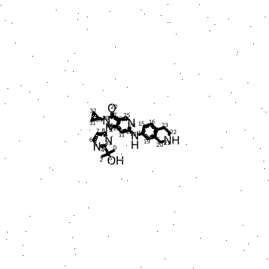 CC(C)(O)c1nccc(-n2c3cc(Nc4ccc5c(c4)CNCC5)ncc3c(=O)n2C2CC2)n1